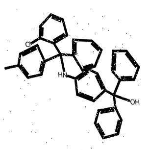 Cc1ccc(C(Nc2ccc(C(O)(c3ccccc3)c3ccccc3)cc2)(c2ccccc2)c2ccccc2Cl)cc1